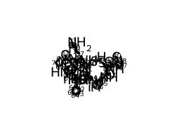 CCCC[C@@H](NC(=O)[C@@H]1CCCN1C(=O)CNC(=O)[C@H](CCCCN)NC(=O)[C@@H]1CSCSC[C@H](NC(=O)[C@@H]2CCCN2C)C(=O)N[C@@H](CC(C)C)C(=O)N[C@@H](CO)C(=O)N1)C(=O)NCCc1ccccc1